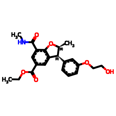 CCOC(=O)c1cc(C(=O)NC)c2c(c1)[C@@H](c1cccc(OCCO)c1)[C@@H](C)O2